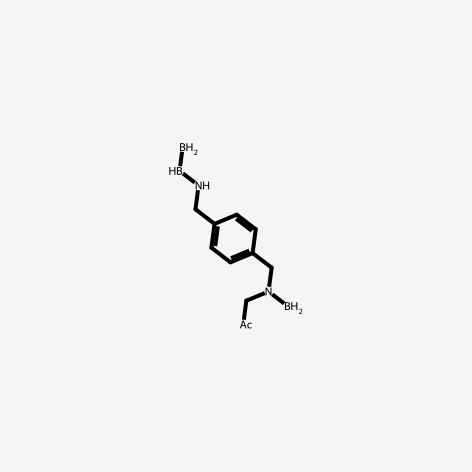 BBNCc1ccc(CN(B)CC(C)=O)cc1